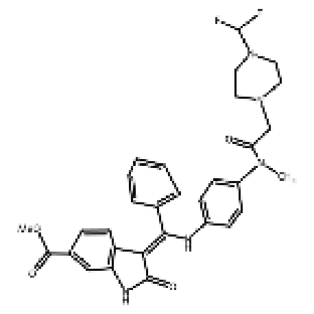 COC(=O)c1ccc2c(c1)NC(=O)/C2=C(\Nc1ccc(N(C)C(=O)CN2CCN(C(F)F)CC2)cc1)c1ccccc1